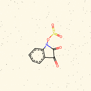 O=C1C(=O)N(O[SH](=O)=O)c2ccccc21